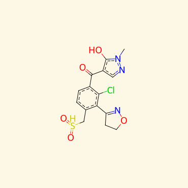 Cn1ncc(C(=O)c2ccc(C[SH](=O)=O)c(C3=NOCC3)c2Cl)c1O